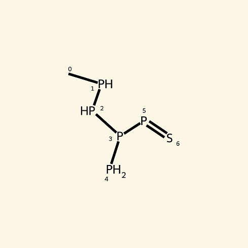 CPPP(P)P=S